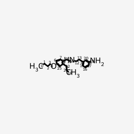 CCCCOc1ccc(CCNCCc2cccc(N)c2)c(CCC)c1